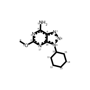 COc1nc(N)c2nnn(C3CCCCC3)c2n1